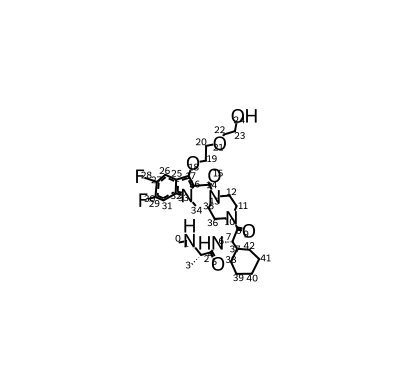 CN[C@@H](C)C(=O)N[C@H](C(=O)N1CCN(C(=O)c2c(OCCOCCO)c3cc(F)c(F)cc3n2C)CC1)C1CCCCC1